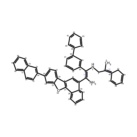 C/C(CN/C(=C(\N)c1cc2c3ccc(-c4ccc5ccccc5c4)cc3oc2c2ccccc12)c1cccc(-c2ccccc2)c1)=C1/C=CC=CC1